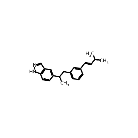 CC(C)/C=C/c1cccc(CC(C)c2ccc3[nH]ncc3c2)c1